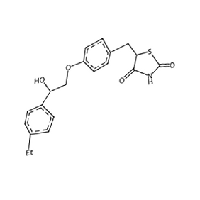 CCc1ccc(C(O)COc2ccc(CC3SC(=O)NC3=O)cc2)cc1